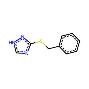 [c]1nc(SCc2ccccc2)n[nH]1